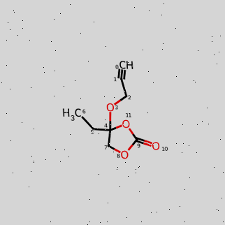 C#CCOC1(CC)COC(=O)O1